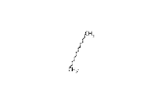 [CH2]C=CCCCCCCC=CCCCCCC